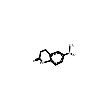 CC(=O)N(C)c1ccc2c(c1)CCC(=O)N2